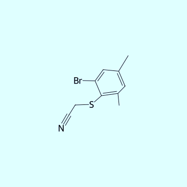 Cc1cc(C)c(SCC#N)c(Br)c1